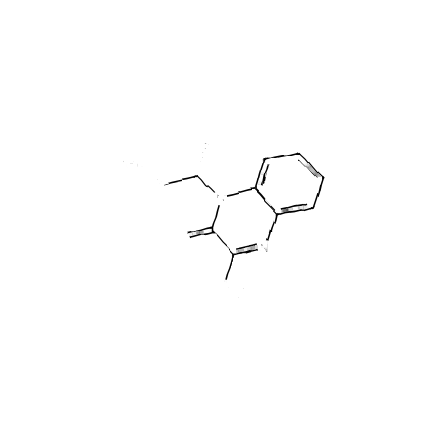 CCC[C@@H](C)C[C@H](C)n1c(=O)c(C(=O)O)nc2ccccc21